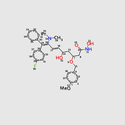 COc1ccc(COC(CC(=O)NO)CC(O)/C=C/C(=C(/c2ccccc2)c2ccc(F)cc2)N(C)C(C)C)cc1